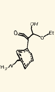 CCOC(O)C(=O)c1cccc(N)c1